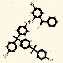 CC(C)(c1ccc(O)cc1)c1ccc(C(C)(c2ccc(O)cc2)c2ccc(O)cc2)cc1.O=C(c1ccccc1)c1ccc(O)cc1O